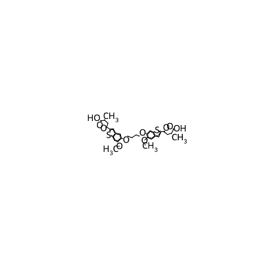 COc1cc2sc(C(=O)C[C@H](C)C(=O)O)cc2cc1OCCCCOc1cc2sc(C(=O)C[C@H](C)C(=O)O)cc2cc1OC